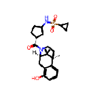 CC1(C)[C@H]2Cc3c(O)cccc3[C@]1(C)CCN2C(=O)[C@@H]1CCC(NS(=O)(=O)C2CC2)C1